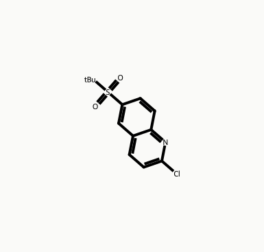 CC(C)(C)S(=O)(=O)c1ccc2nc(Cl)ccc2c1